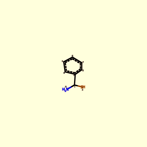 NC(S)c1ccccc1